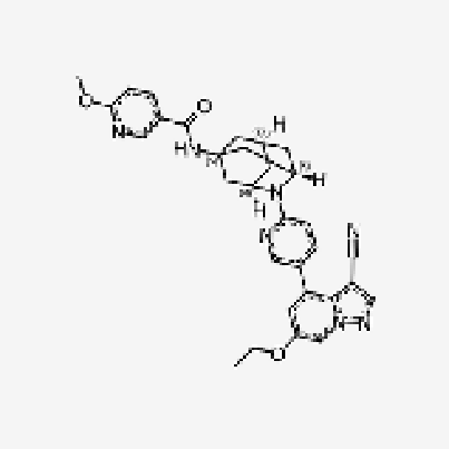 CCOc1cc(-c2ccc(N3[C@@H]4C[C@@H]5C[C@H]3C[C@@](NC(=O)c3ccc(OC)nc3)(C5)C4)nc2)c2c(C#N)cnn2c1